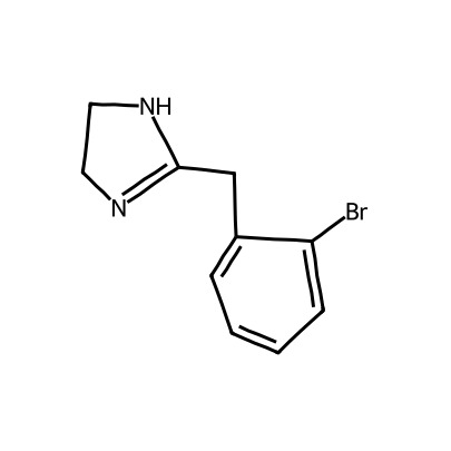 Brc1ccccc1CC1=NCCN1